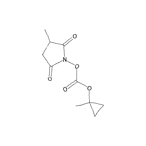 CC1CC(=O)N(OC(=O)OC2(C)CC2)C1=O